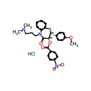 COc1ccc([C@H]2Sc3ccccc3N(CCCN(C)C)C(=O)[C@H]2OC(=O)c2ccc([N+](=O)[O-])cc2)cc1.Cl